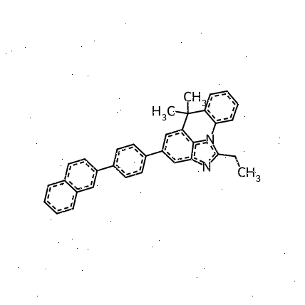 CCc1nc2cc(-c3ccc(-c4ccc5ccccc5c4)cc3)cc3c2n1-c1ccccc1C3(C)C